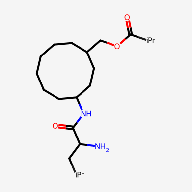 CC(C)CC(N)C(=O)NC1CCCCCCC(COC(=O)C(C)C)CC1